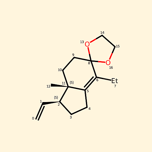 C=C[C@@H]1CCC2=C(CC)C3(CC[C@]21C)OCCO3